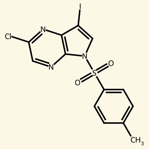 Cc1ccc(S(=O)(=O)n2cc(I)c3nc(Cl)cnc32)cc1